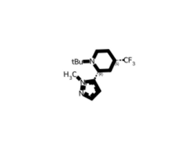 Cn1nccc1[C@H]1C[C@@H](C(F)(F)F)CCN1C(C)(C)C